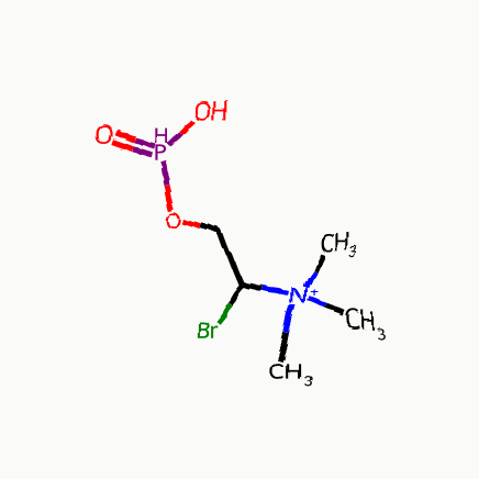 C[N+](C)(C)C(Br)CO[PH](=O)O